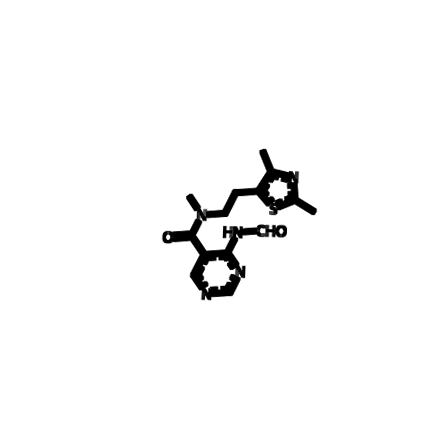 Cc1nc(C)c(CCN(C)C(=O)c2cncnc2NC=O)s1